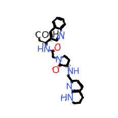 O=C(O)C[C@H](NC(=O)CN1CC[C@H](NCc2ccc3c(n2)NCCC3)C1=O)c1cnc2ccccc2c1